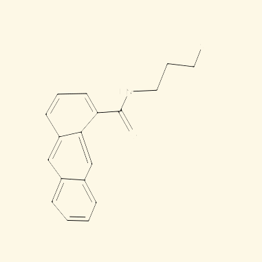 CCC[CH]NC(=O)c1cccc2cc3ccccc3cc12